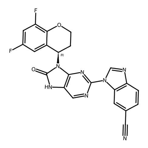 N#Cc1ccc2ncn(-c3ncc4[nH]c(=O)n([C@@H]5CCOc6c(F)cc(F)cc65)c4n3)c2c1